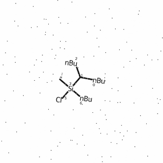 CCCCC(CCCC)[Si](C)(Cl)CCCC